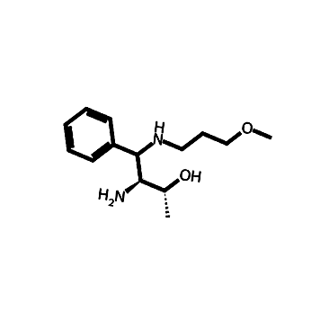 COCCCNC(c1ccccc1)[C@H](N)[C@@H](C)O